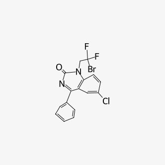 O=c1nc(-c2ccccc2)c2cc(Cl)ccc2n1CC(F)(F)Br